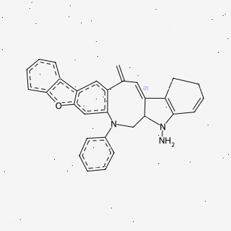 C=C1/C=C2/C3=C(C=CCC3)N(N)C2CN(c2ccccc2)c2cc3oc4ccccc4c3cc21